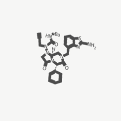 C#CCN(C(=O)NCCCC)N1CC(=O)N2[C@@H](c3ccccc3)C(=O)N(Cc3cccc4sc(N)nc34)C[C@@H]21